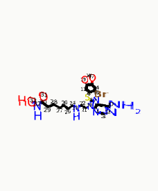 Nc1ncnc2c1nc(Sc1cc3c(cc1Br)OCO3)n2CCNCCCCCCC(=O)NO